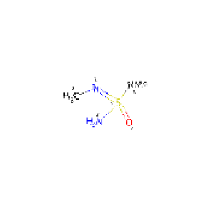 CN=S(N)(=O)NC